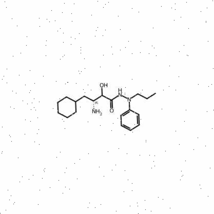 CCCN(NC(=O)C(O)[C@H](N)CC1CCCCC1)c1ccccc1